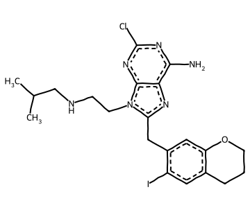 CC(C)CNCCn1c(Cc2cc3c(cc2I)CCCO3)nc2c(N)nc(Cl)nc21